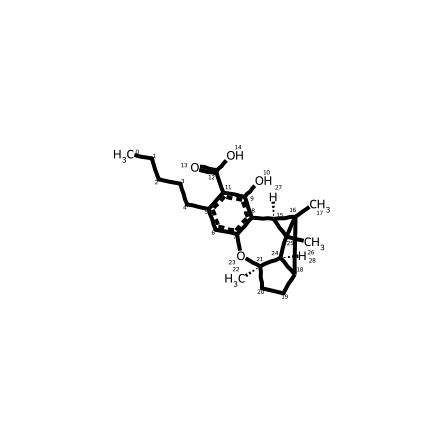 CCCCCc1cc2c(c(O)c1C(=O)O)[C@H]1C3(C)C4CC[C@@](C)(O2)[C@H]4C13C